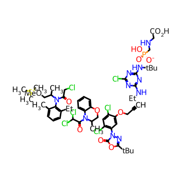 C#CCOc1cc(-n2nc(C(C)(C)C)oc2=O)c(Cl)cc1Cl.CC1COc2ccccc2N1C(=O)C(Cl)Cl.CCNc1nc(Cl)nc(NC(C)(C)C)n1.CCc1cccc(C)c1N(C(=O)CCl)C(C)COC.C[S+](C)C.O=C(O)CNCP(=O)([O-])O